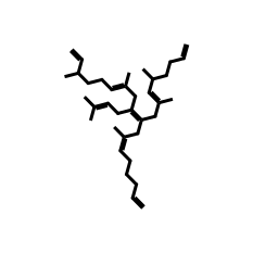 C=CCCCC=C(C)CC(CC(C)=CC(C)CCC=C)=C(CC=C(C)C)CC(C)=CCCC(C)C=C